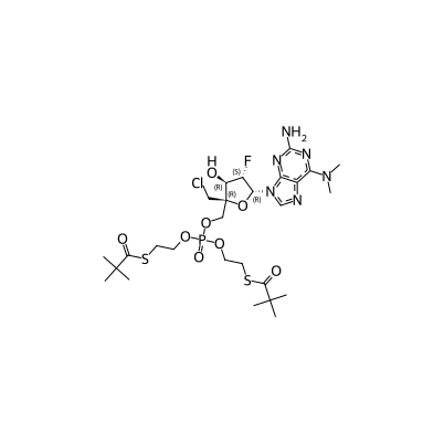 CN(C)c1nc(N)nc2c1ncn2[C@@H]1O[C@](CCl)(COP(=O)(OCCSC(=O)C(C)(C)C)OCCSC(=O)C(C)(C)C)[C@@H](O)[C@@H]1F